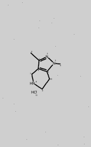 Cc1nn(C)c2c1CNCC2.Cl